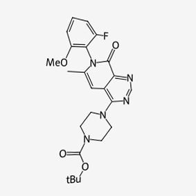 COc1cccc(F)c1-n1c(C)cc2c(N3CCN(C(=O)OC(C)(C)C)CC3)ncnc2c1=O